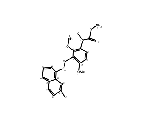 CCCOc1c(N(C)C(=O)CN)ccc(OC)c1COc1cccc2ccc(C)nc12